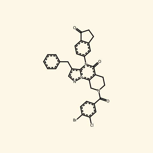 O=C1CCc2cc(-n3c(=O)c4c(n5ncc(Cc6ccccc6)c35)CN(C(=O)c3ccc(Br)c(Cl)c3)CC4)ccc21